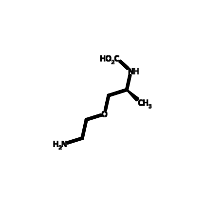 C[C@@H](COCCN)NC(=O)O